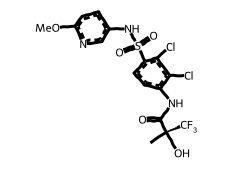 COc1ccc(NS(=O)(=O)c2ccc(NC(=O)[C@@](C)(O)C(F)(F)F)c(Cl)c2Cl)cn1